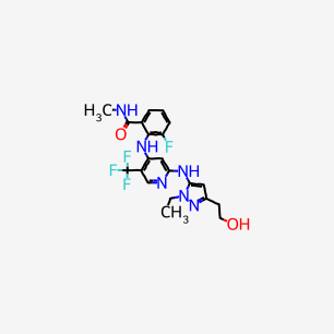 CCn1nc(CCO)cc1Nc1cc(Nc2c(F)cccc2C(=O)NC)c(C(F)(F)F)cn1